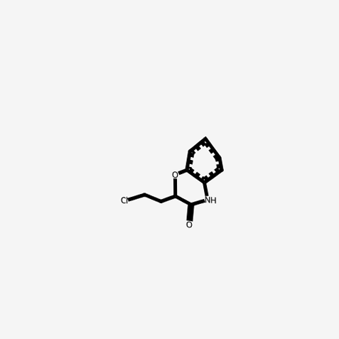 O=C1Nc2ccccc2OC1CCCl